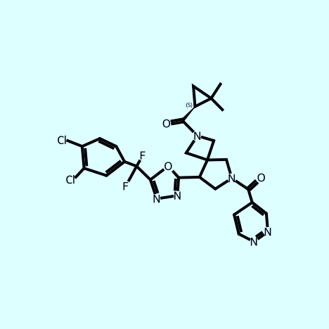 CC1(C)C[C@@H]1C(=O)N1CC2(CN(C(=O)c3ccnnc3)CC2c2nnc(C(F)(F)c3ccc(Cl)c(Cl)c3)o2)C1